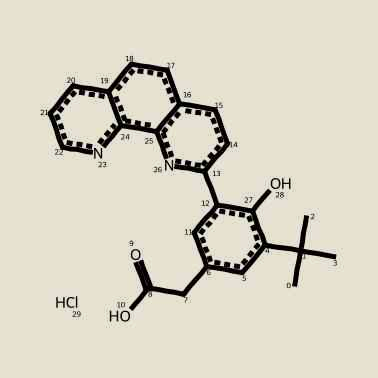 CC(C)(C)c1cc(CC(=O)O)cc(-c2ccc3ccc4cccnc4c3n2)c1O.Cl